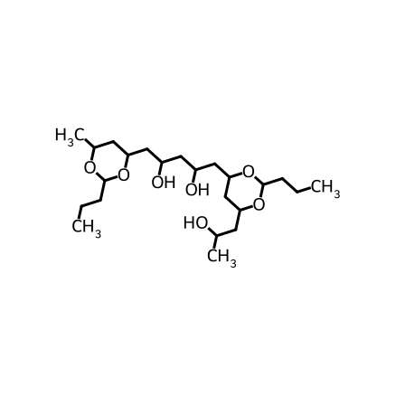 CCCC1OC(C)CC(CC(O)CC(O)CC2CC(CC(C)O)OC(CCC)O2)O1